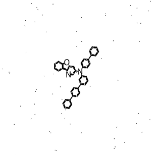 c1ccc(-c2ccc(-c3cccc(N(c4ccc(-c5ccccc5)cc4)c4cnc5c(c4)oc4ccccc45)c3)cc2)cc1